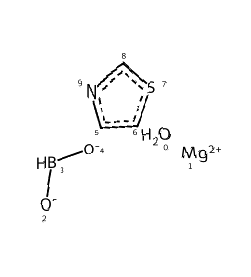 O.[Mg+2].[O-]B[O-].c1cscn1